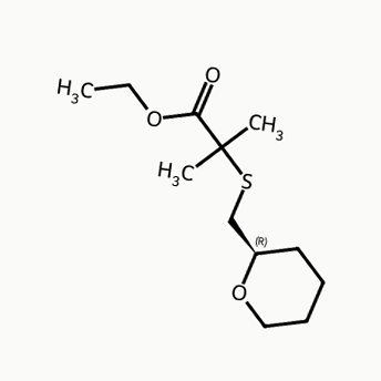 CCOC(=O)C(C)(C)SC[C@H]1CCCCO1